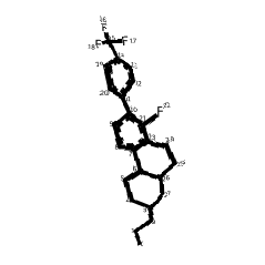 CCCC1CCC2c3ccc(-c4ccc(C(F)(F)F)cc4)c(F)c3CCC2C1